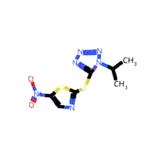 CC(C)n1nnnc1Sc1ncc([N+](=O)[O-])s1